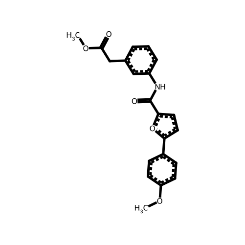 COC(=O)Cc1cccc(NC(=O)c2ccc(-c3ccc(OC)cc3)o2)c1